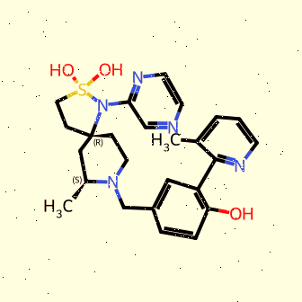 Cc1cccnc1-c1cc(CN2CC[C@]3(CCS(O)(O)N3c3cnccn3)C[C@@H]2C)ccc1O